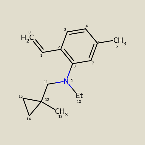 C=Cc1ccc(C)cc1N(CC)CC1(C)CC1